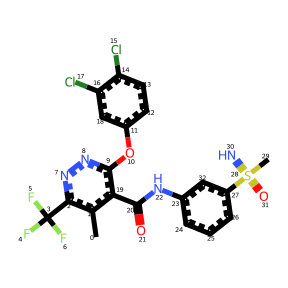 Cc1c(C(F)(F)F)nnc(Oc2ccc(Cl)c(Cl)c2)c1C(=O)Nc1cccc(S(C)(=N)=O)c1